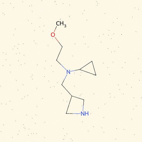 COCCN(CC1CNC1)C1CC1